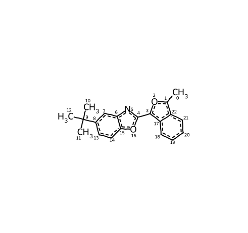 Cc1oc(-c2nc3cc(C(C)(C)C)ccc3o2)c2ccccc12